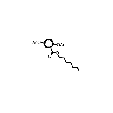 CC(=O)Oc1ccc(OC(C)=O)c(C(=O)OCCCCCCF)c1